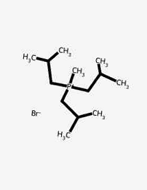 CC(C)C[P+](C)(CC(C)C)CC(C)C.[Br-]